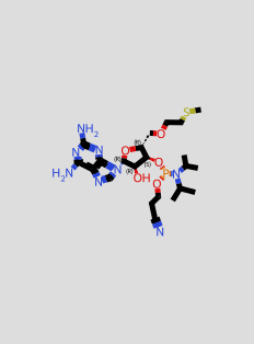 CSCCOC[C@H]1O[C@@H](n2cnc3c(N)nc(N)nc32)[C@H](O)[C@@H]1OP(OCCC#N)N(C(C)C)C(C)C